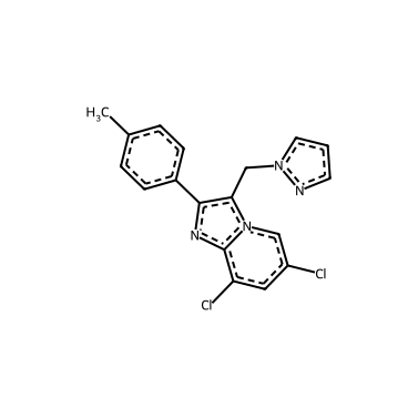 Cc1ccc(-c2nc3c(Cl)cc(Cl)cn3c2Cn2cccn2)cc1